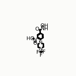 O=C(NO)c1ccc(N2CCN(C(F)(F)F)CC2)c([N+](=O)O)c1